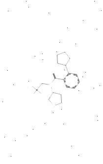 CC(C)(C)CN(C(=O)c1ccccc1C1CCCC1)[C@H]1CCNC1